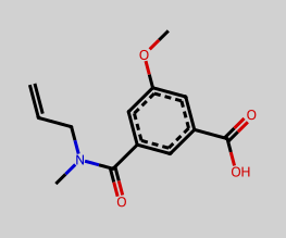 C=CCN(C)C(=O)c1cc(OC)cc(C(=O)O)c1